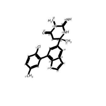 Cc1ccc(Cl)c(-c2cc([C@]3(C)CC(=O)N(C)C(=N)N3)cc3ccsc23)c1